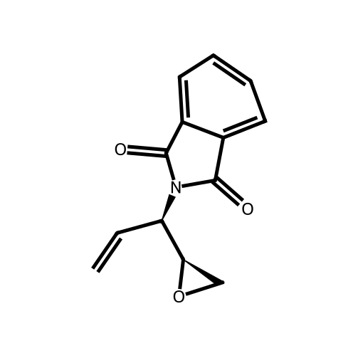 C=C[C@H]([C@H]1CO1)N1C(=O)c2ccccc2C1=O